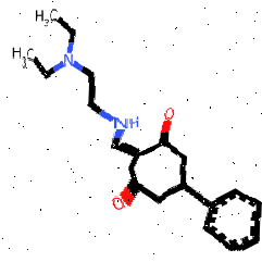 CCN(CC)CCNC=C1C(=O)CC(c2ccccc2)CC1=O